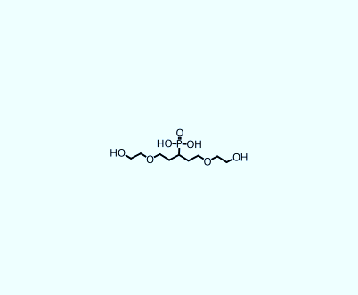 O=P(O)(O)C(CCOCCO)CCOCCO